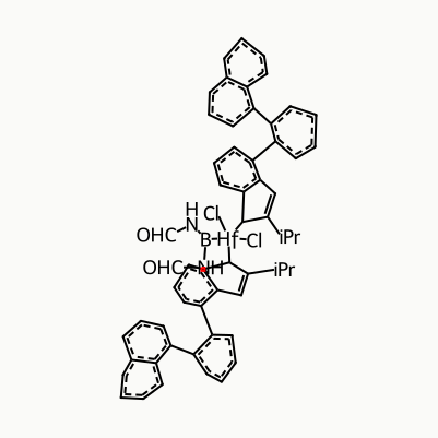 CC(C)C1=Cc2c(-c3ccccc3-c3cccc4ccccc34)cccc2[CH]1[Hf]([Cl])([Cl])([B](NC=O)NC=O)[CH]1C(C(C)C)=Cc2c(-c3ccccc3-c3cccc4ccccc34)cccc21